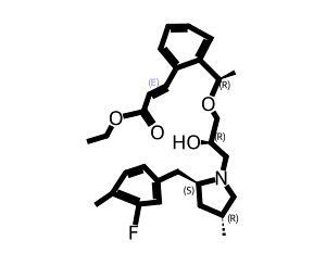 CCOC(=O)/C=C/c1ccccc1[C@@H](C)OC[C@H](O)CN1C[C@H](C)C[C@H]1Cc1ccc(C)c(F)c1